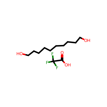 O=C(O)C(F)(F)F.OCCCCCCCCCCO